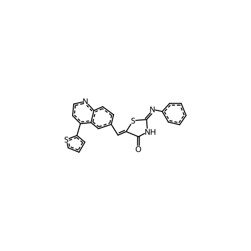 O=C1N/C(=N\c2ccccc2)S/C1=C\c1ccc2nccc(-c3cccs3)c2c1